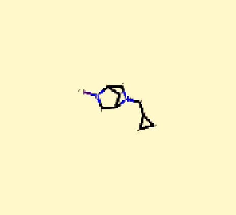 IN1CC2CC1CN2CC1CC1